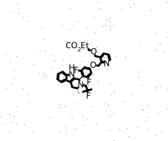 CCOC(=O)COCc1cccnc1COc1cc(F)c([C@@H]2c3[nH]c4ccccc4c3C[C@@H](C)N2CC(C)(C)F)c(F)c1